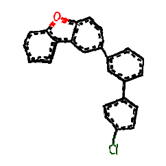 Clc1ccc(-c2cccc(-c3ccc4oc5ccccc5c4c3)c2)cc1